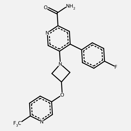 NC(=O)c1cc(-c2ccc(F)cc2)c(N2CC(Oc3ccc(C(F)(F)F)nc3)C2)cn1